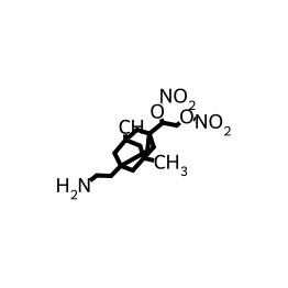 CC12CC3(C)CC(CCN)(C1)CC(C(CO[N+](=O)[O-])O[N+](=O)[O-])(C2)C3